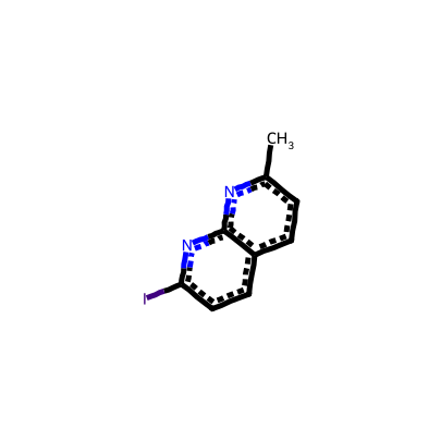 Cc1ccc2ccc(I)nc2n1